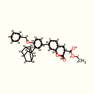 CCOC(=O)c1cc2ccc(-c3ccc(OCc4ccccc4)c(C45CC6CC(CC(C6)C4)C5)c3)cc2oc1=O